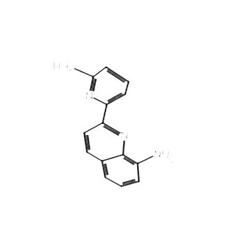 Cc1cccc(-c2ccc3cccc(N)c3n2)n1